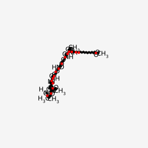 COC(=O)CCCCCCCCCCCCCCCCC(=O)N[C@@H](CCC(=O)NCCOCCOCC(=O)NCCOCCOCC(=O)NCc1ncc(-c2cc(C)c3c(c2)c(C(C)=O)nn3CC(=O)N2CC(C)(C)C[C@H]2C=O)cn1)C(=O)OC